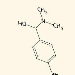 CC(C)c1ccc(C(O)N(C)C)cc1